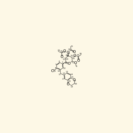 COC1O[C@@H](c2ccc(Cl)c(Cc3ccc4c(c3)OCCO4)c2)[C@H](OC(C)=O)[C@@H](OC(C)=O)[C@@H]1OC(C)=O